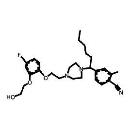 CCCCCC(c1ccc(C#N)c(C)c1)N1CCN(CCOc2ccc(F)cc2OCCO)CC1